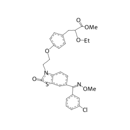 CCOC(Cc1ccc(OCCn2c(=O)sc3cc(C(=NOC)c4cccc(Cl)c4)ccc32)cc1)C(=O)OC